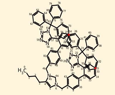 CCCCC1=CN(Cc2ccc(-c3ccccc3-c3nnnn3C(c3ccccc3)(c3ccccc3)c3ccccc3)cc2)CN1Cc1ccc(-c2ccccc2-c2nnnn2C(c2ccccc2)(c2ccccc2)c2ccccc2)cc1